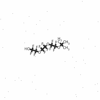 CC(C)(C)OC(F)(F)C(F)(F)OC(F)(F)C(F)(F)OC(F)(F)C(O)(F)F